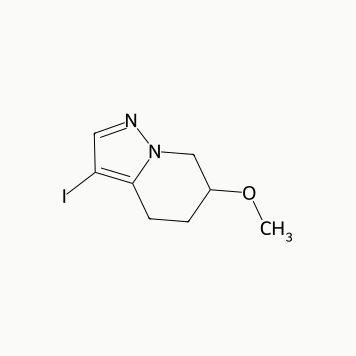 COC1CCc2c(I)cnn2C1